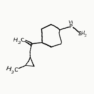 BPC1CCC(C(=C)C2CC2C)CC1